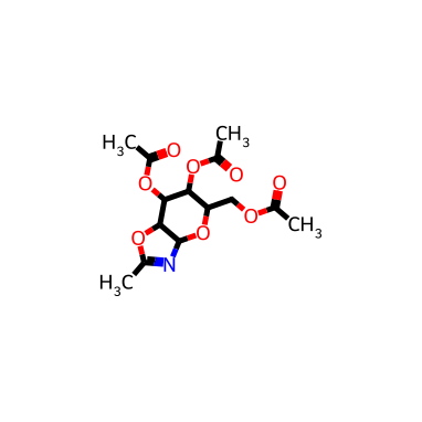 CC(=O)OCC1OC2N=C(C)OC2C(OC(C)=O)C1OC(C)=O